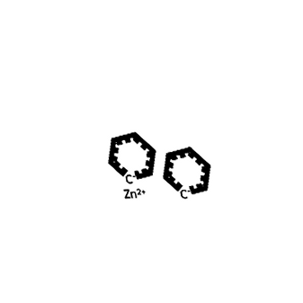 [Zn+2].[c-]1ccccc1.[c-]1ccccc1